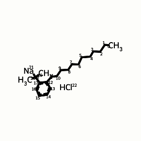 CCCCCCCCCCCCc1ccccc1[C](C)(C)[Na].Cl